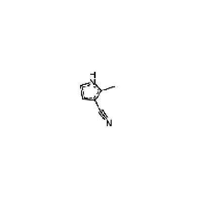 [CH2]c1[nH]ccc1C#N